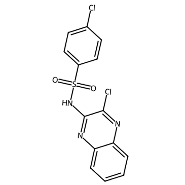 O=S(=O)(Nc1nc2ccccc2nc1Cl)c1ccc(Cl)cc1